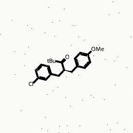 COc1ccc([CH][C@@H](Cc2cccc(Cl)c2)C(=O)C(C)(C)C)cc1